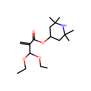 C=C(C(=O)OC1CC(C)(C)NC(C)(C)C1)C(OCC)OCC